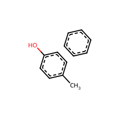 Cc1ccc(O)cc1.c1ccccc1